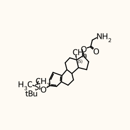 CC(C)(C)[Si](C)(C)Oc1ccc2c(c1)CCC1C2CC[C@@]2(C)C1CC[C@@H]2OC(=O)CN